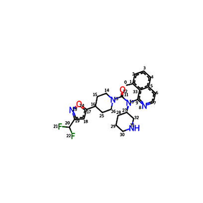 Cc1cccc2ccnc(N(C(=O)N3CCC(c4cc(C(F)F)no4)CC3)[C@@H]3CCCNC3)c12